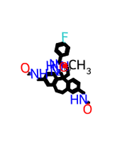 C[C@H](N)CC1(c2nnc(-c3ccc(F)cc3)o2)c2ccc(CNC=O)cc2CCc2cc(CNC=O)ccc21